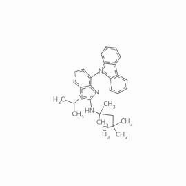 CC(C)n1c(NC(C)(C)CC(C)(C)C)nc2c(-n3c4ccccc4c4ccccc43)cccc21